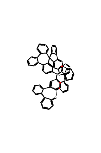 c1ccc(-c2ccccc2N(c2ccc3c(c2)-c2ccccc2-c2ccccc2O3)c2ccc3c(c2)C2(c4ccccc4-c4ccccc4-3)c3ccccc3-c3cc4c(cc32)oc2ccccc24)cc1